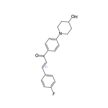 O=C(/C=C/c1ccc(F)cc1)c1ccc(N2CCC(O)CC2)cc1